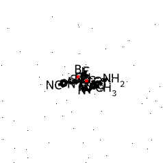 Cc1cc(C[n+]2cnn(CC(OC(=O)C(F)(F)F)(c3ccc(F)cc3F)C(C)Cc3nc(-c4ccc(C#N)cc4)cs3)c2)cc(C)c1OC(=O)CCN.[Br-]